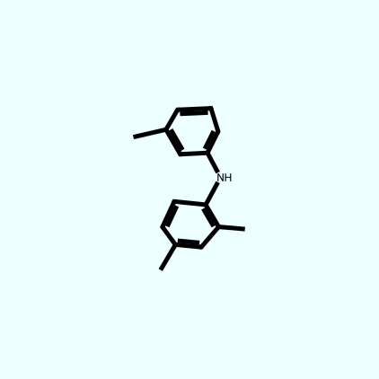 Cc1cccc(Nc2ccc(C)cc2C)c1